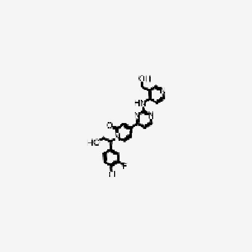 O=c1cc(-c2ccnc(Nc3ccncc3CO)n2)ccn1C(CO)c1ccc(Cl)c(F)c1